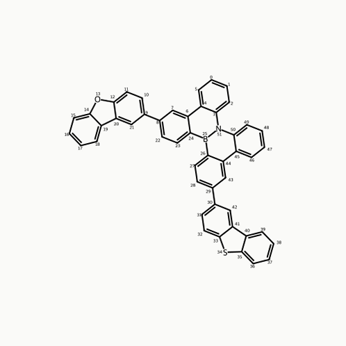 c1ccc2c(c1)-c1cc(-c3ccc4oc5ccccc5c4c3)ccc1B1c3ccc(-c4ccc5sc6ccccc6c5c4)cc3-c3ccccc3N12